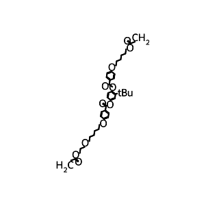 C=CC(=O)OCCCCCCOc1ccc(C(=O)Oc2ccc(OC(=O)c3ccc(OCCCCCCOCCCOC(=O)C=C)cc3)cc2C(C)(C)C)cc1